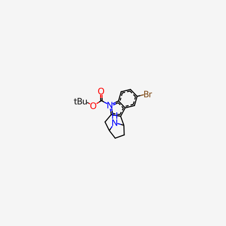 CC(C)(C)OC(=O)n1c2c(c3cc(Br)ccc31)C1CCC(C2)N1